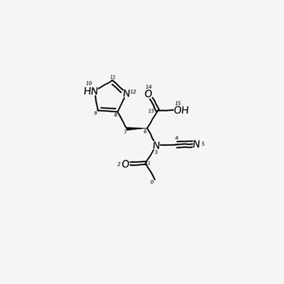 CC(=O)N(C#N)[C@@H](Cc1c[nH]cn1)C(=O)O